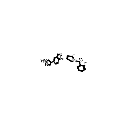 C[C@H]1C[C@@H](Cn2ncc3cc(-c4cn[nH]c4)ccc32)CN1C(=O)c1ccccc1F